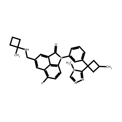 CC1CC(c2cccc(N3C(=O)c4cc(CNC5(C)CCC5)cc5c(F)ccc3c45)c2)(c2nncn2C)C1